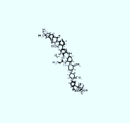 C=CC(=O)Nc1cc(Nc2nc(-c3ccnc(N4CCn5c(cc6c5CC(C)(C)C6)C4=O)c3CO)cn(C)c2=O)ccc1N1CCN(C2CCN(c3ccc(F)c(C(C)(C)NP(=O)(O)O)c3)[C@@H](C)C2)C[C@@H]1C